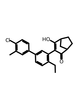 CCc1ccc(-c2ccc(Cl)c(C)c2)cc1C1=C(O)C2CCC(C2)C1=O